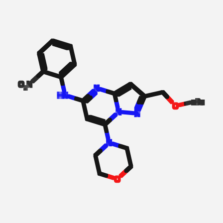 CCCCOCc1cc2nc(Nc3ccccc3[N+](=O)[O-])cc(N3CCOCC3)n2n1